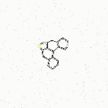 c1ccc2c(c1)Cc1csc3cc4ccccc4c-2c13